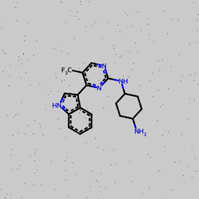 NC1CCC(Nc2ncc(C(F)(F)F)c(-c3c[nH]c4ccccc34)n2)CC1